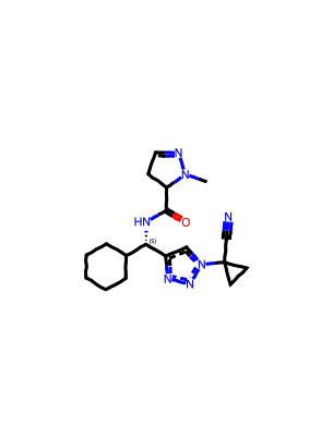 CN1N=CCC1C(=O)N[C@H](c1cn(C2(C#N)CC2)nn1)C1CCCCC1